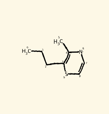 CCCC1=C(C)[N]C=CS1